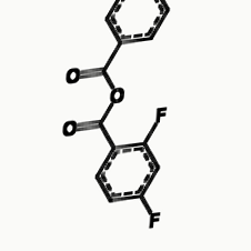 O=C(OC(=O)c1ccc(F)cc1F)c1ccccc1